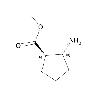 COC(=O)[C@@H]1CCC[C@H]1N